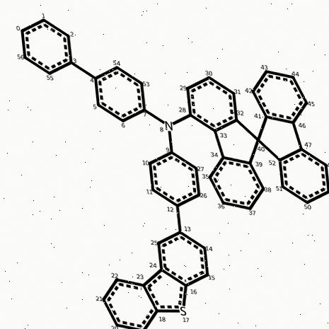 c1ccc(-c2ccc(N(c3ccc(-c4ccc5sc6ccccc6c5c4)cc3)c3cccc4c3-c3ccccc3C43c4ccccc4-c4ccccc43)cc2)cc1